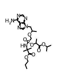 CCCOC(=O)C(C)(C)NP(=O)(COC(C)Cn1cnc2c(N)ncnc21)OC(C)C(=O)OC(C)C